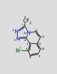 FC(F)(F)c1nnc2c3c(Br)cccc3ccn12